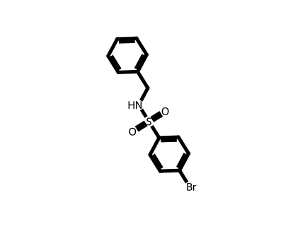 O=S(=O)(NCc1ccccc1)c1ccc(Br)cc1